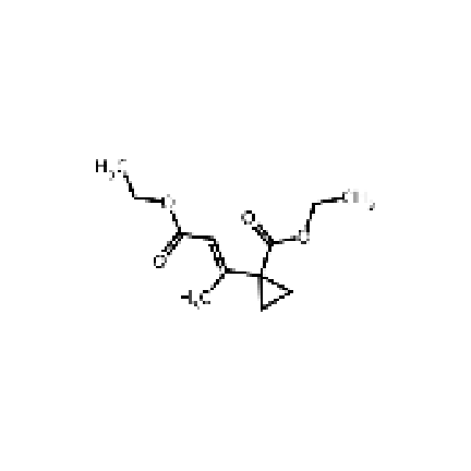 CCOC(=O)/C=C(\C)C1(C(=O)OCC)CC1